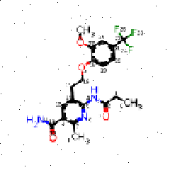 CCC(=O)Nc1nc(C)c(C(N)=O)cc1CCOc1ccc(C(F)(F)F)cc1OC